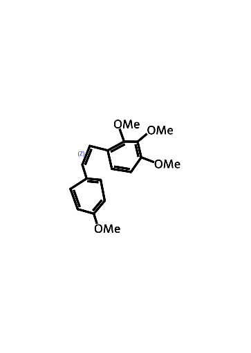 COc1ccc(/C=C\c2ccc(OC)c(OC)c2OC)cc1